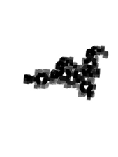 COc1ccc2[nH]c3c(c2c1)CC1c2cc(OC)c(OCc4ccc(Br)cc4)cc2CCN1C3c1ccc(F)cc1